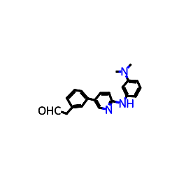 CN(C)c1cccc(Nc2ccc(-c3cccc(CC=O)c3)cn2)c1